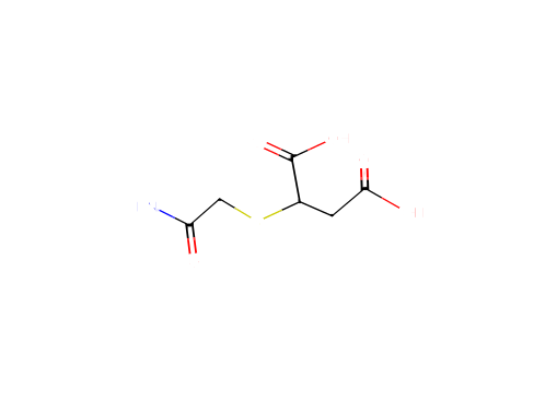 [NH]C(=O)CSC(CC(=O)O)C(=O)O